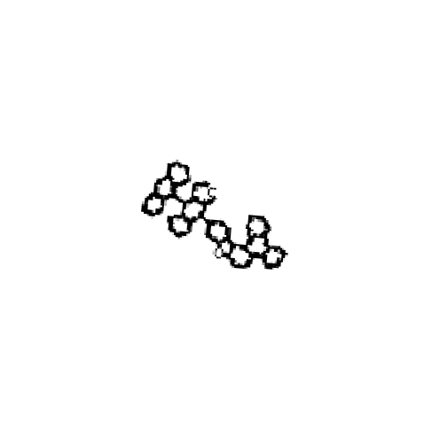 c1ccc2c(-c3c4ccccc4c(-c4ccc5c(c4)oc4ccc6c7ccccc7c7ccccc7c6c45)c4ccccc34)c3ccccc3cc2c1